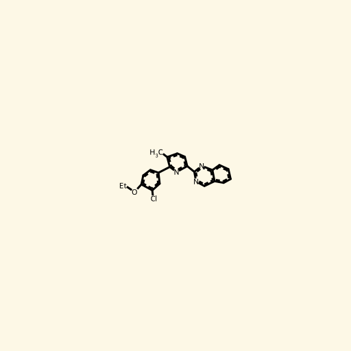 CCOc1ccc(-c2nc(-c3ncc4ccccc4n3)ccc2C)cc1Cl